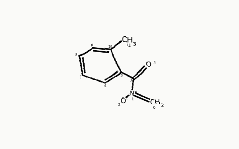 C=[N+]([O-])C(=O)c1ccccc1C